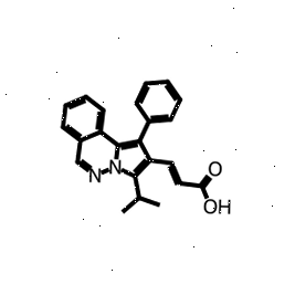 CC(C)c1c(C=CC(=O)O)c(-c2ccccc2)c2c3ccccc3cnn12